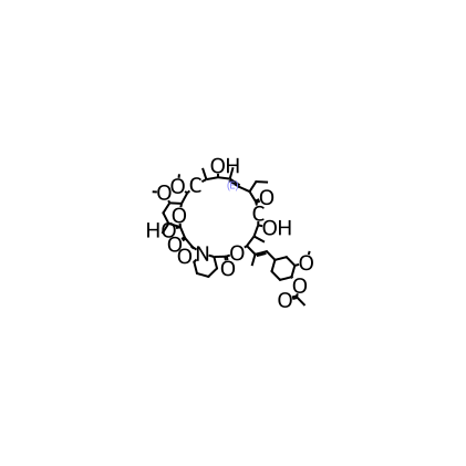 CCC1/C=C(\C)C(O)C(C)CC(OC)C2OC(O)(C(=O)C(=O)N3CCCCC3C(=O)OC(C(C)=CC3CCC(OC(C)=O)C(OC)C3)C(C)C(O)CC1=O)C(C)CC2OC